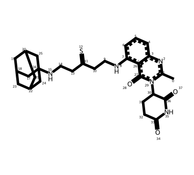 Cc1nc2cccc(NCCC(=S)CCNC34CC5CC(CC(C5)C3)C4)c2c(=O)n1C1CCC(=O)NC1=O